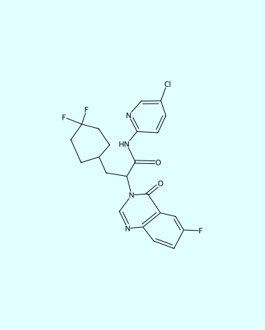 O=C(Nc1ccc(Cl)cn1)C(CC1CCC(F)(F)CC1)n1cnc2ccc(F)cc2c1=O